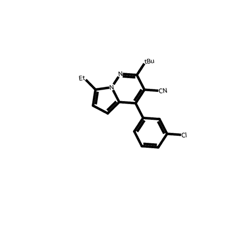 CCc1ccc2c(-c3cccc(Cl)c3)c(C#N)c(C(C)(C)C)nn12